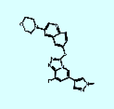 Cn1cc(-c2cc(F)c3nnc(Sc4ccc5ncc(N6CCOCC6)cc5c4)n3c2)cn1